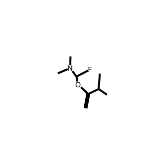 C=C(OC(F)N(C)C)C(C)C